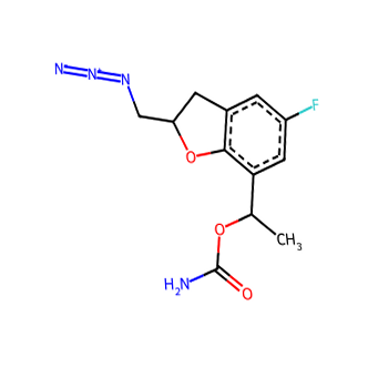 CC(OC(N)=O)c1cc(F)cc2c1OC(CN=[N+]=[N-])C2